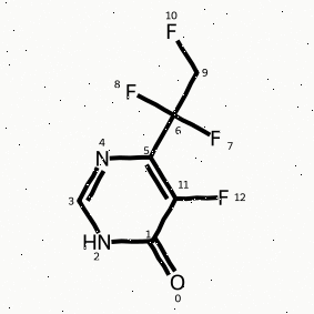 O=c1[nH]cnc(C(F)(F)CF)c1F